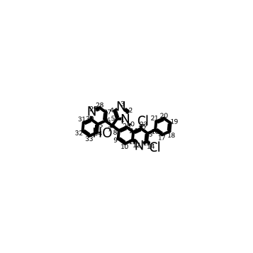 Cn1cncc1C(O)(c1ccc2nc(Cl)c(-c3ccccc3)c(Cl)c2c1)c1ccnc2ccccc12